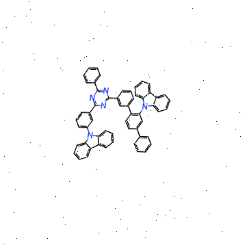 c1ccc(-c2ccc(-c3cccc(-c4nc(-c5ccccc5)nc(-c5cccc(-n6c7ccccc7c7ccccc76)c5)n4)c3)c(-n3c4ccccc4c4ccccc43)c2)cc1